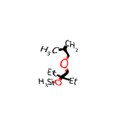 C=C(C)COCC(CC)(CC)O[SiH3]